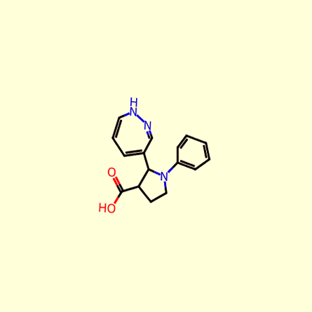 O=C(O)C1CCN(c2ccccc2)C1C1=CC=CNN=C1